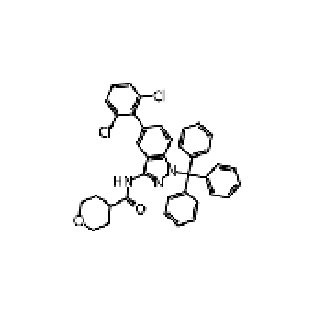 O=C(Nc1nn(C(c2ccccc2)(c2ccccc2)c2ccccc2)c2ccc(-c3c(Cl)cccc3Cl)cc12)C1CCOCC1